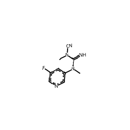 CN(C#N)C(=N)N(C)c1cncc(F)c1